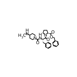 CNC1CCN(C(=O)N[C@@H](Cc2ccccc2)C(=O)N2CCC[C@H]2C(=O)OCc2ccccc2)CC1